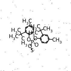 Cc1ccc(OP(=O)(O[S])Oc2ccc(C)cc2C(C)(C)C)c(C(C)(C)C)c1